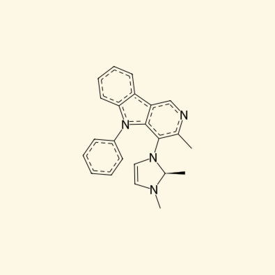 Cc1ncc2c3ccccc3n(-c3ccccc3)c2c1N1C=CN(C)[C@@H]1C